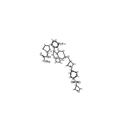 COC(=O)N[C@H]1CCC[C@@H]1C(CN1CCC1)(c1cccc(F)c1)C1CCN(CC2CN(c3ccc(S(=O)(=O)C4COC4)cc3)C2)CC1